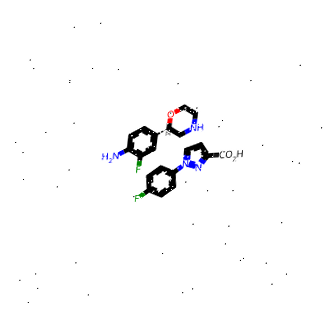 Nc1ccc([C@H]2CNCCO2)cc1F.O=C(O)c1ccn(-c2ccc(F)cc2)n1